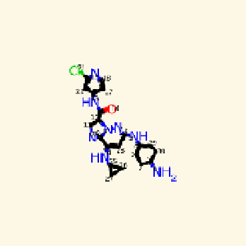 NC1CCC(NC2=NN3C(=NCC3C(=O)Nc3ccnc(Cl)c3)C(NC3CC3)=C2)CC1